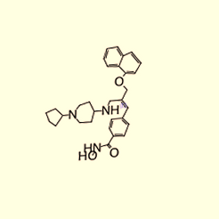 O=C(NO)c1ccc(/C=C(\CNC2CCN(C3CCCC3)CC2)COc2cccc3ccccc23)cc1